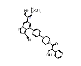 CN/C=C(\C=N)c1cc(-c2ccc(N3CCN(C(=O)C(CO)c4ccccc4)CC3)nc2)c2c(C#N)cnn2c1